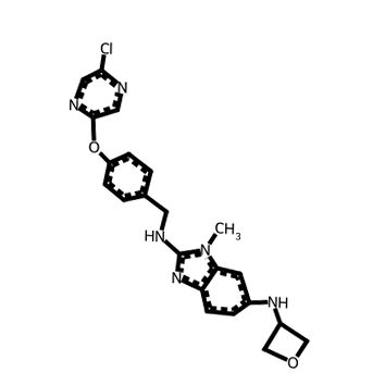 Cn1c(NCc2ccc(Oc3cnc(Cl)cn3)cc2)nc2ccc(NC3COC3)cc21